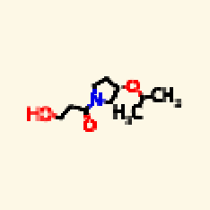 CC(C)O[C@H]1CCN(C(=O)CCO)C1